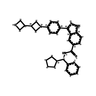 O=C(N[C@H](c1ccccn1)C1CCCC1)c1ccc2[nH]nc(-c3ccc(N4CC(C5COC5)C4)cc3)c2c1